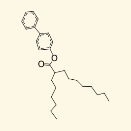 CCCCCCCCC(CCCCCC)C(=O)Oc1ccc(-c2ccccc2)cc1